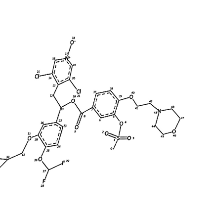 CS(=O)(=O)Oc1cc(C(=O)OC(Cc2c(Cl)c[n+]([O-])cc2Cl)c2ccc(OC(F)F)c(OCC3CC3)c2)ccc1OCCN1CCOCC1